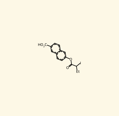 CCC(I)C(=O)Oc1ccc2cc(C(=O)O)ccc2c1